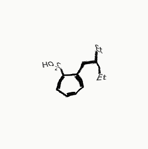 CCC(CC)Cc1ccccc1C(=O)O